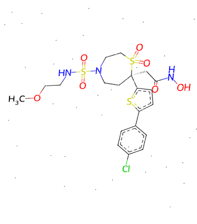 COCCNS(=O)(=O)N1CC[C@](CC(=O)NO)(c2ccc(-c3ccc(Cl)cc3)s2)S(=O)(=O)CC1